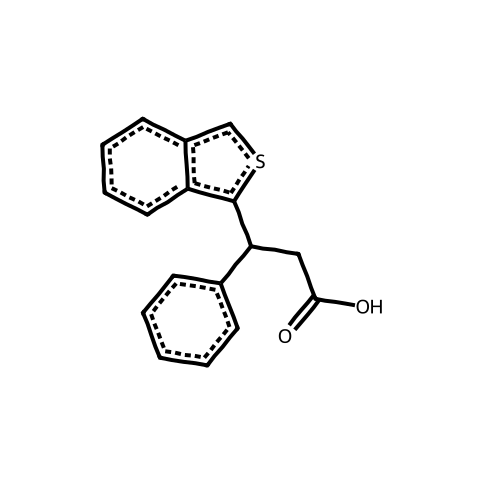 O=C(O)CC(c1ccccc1)c1scc2ccccc12